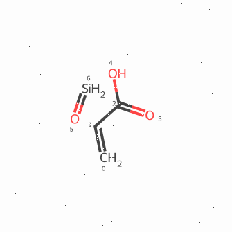 C=CC(=O)O.O=[SiH2]